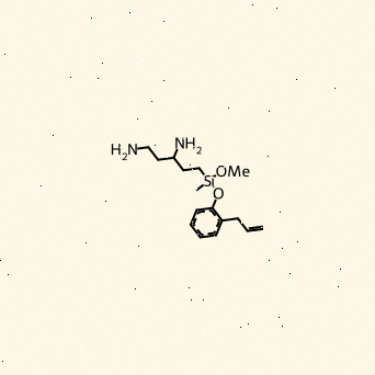 C=CCc1ccccc1O[Si](C)(CCC(N)CCN)OC